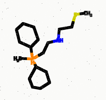 B[PH](CCNCCSC)(C1CCCCC1)C1CCCCC1